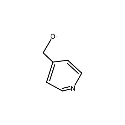 [O]Cc1ccncc1